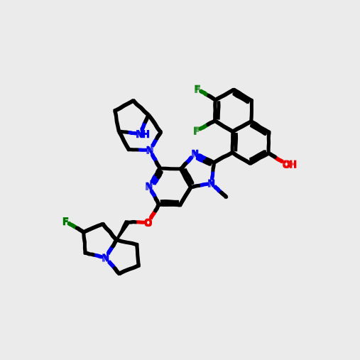 Cn1c(-c2cc(O)cc3ccc(F)c(F)c23)nc2c(N3CC4CCC(C3)N4)nc(OC[C@@]34CCCN3CC(F)C4)cc21